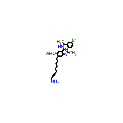 COc1cc2c(NC(C)c3cccc(Br)c3)nc(C)nc2cc1CCCCCCC#CCN